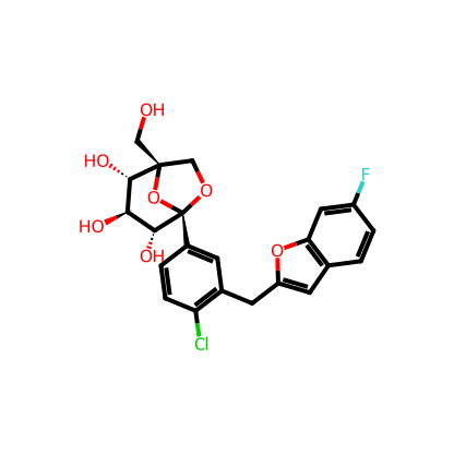 OC[C@@]12CO[C@@](c3ccc(Cl)c(Cc4cc5ccc(F)cc5o4)c3)(O1)[C@H](O)[C@@H](O)[C@@H]2O